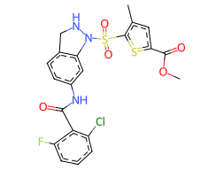 COC(=O)c1cc(C)c(S(=O)(=O)N2NCc3ccc(NC(=O)c4c(F)cccc4Cl)cc32)s1